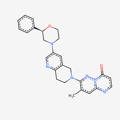 Cc1cc2nccc(=O)n2nc1N1CCc2ncc(N3CCO[C@H](c4ccccc4)C3)cc2C1